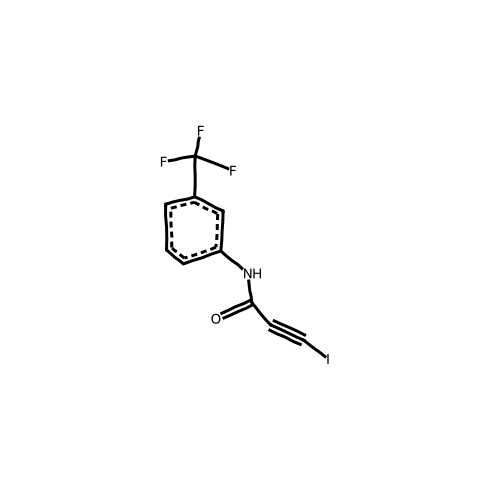 O=C(C#CI)Nc1cccc(C(F)(F)F)c1